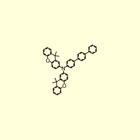 CC1(C)c2ccccc2Oc2ccc(N(c3ccc(-c4ccc(-c5ccccc5)cc4)cc3)c3ccc4c(c3)C(C)(C)c3ccccc3O4)cc21